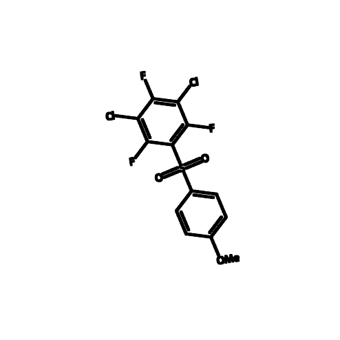 COc1ccc(S(=O)(=O)c2c(F)c(Cl)c(F)c(Cl)c2F)cc1